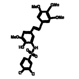 COc1cc(C=Cc2cc(OC)c(OC)c(OC)c2)cc(NS(=O)(=O)c2ccc(Cl)c(Cl)c2)c1O